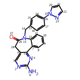 Nc1ncc2c(n1)-c1ccccc1N(Cc1ccc(-n3cccn3)cc1)C(=O)C2